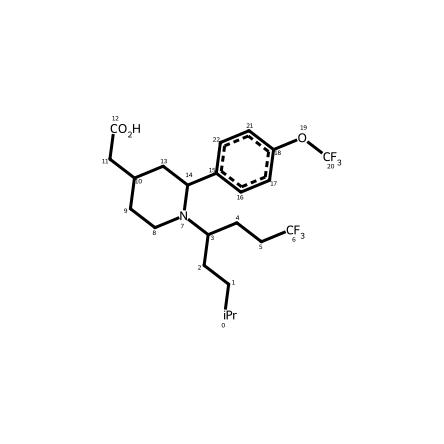 CC(C)CCC(CCC(F)(F)F)N1CCC(CC(=O)O)CC1c1ccc(OC(F)(F)F)cc1